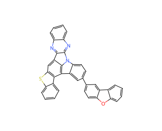 c1ccc2nc3c(nc2c1)c1cc2sc4ccccc4c2c2c4cc(-c5ccc6oc7ccccc7c6c5)ccc4n3c12